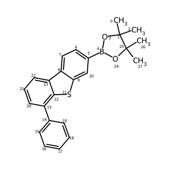 CC1(C)OB(c2ccc3c(c2)sc2c(-c4ccccc4)cccc23)OC1(C)C